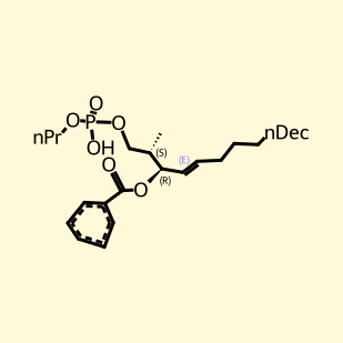 CCCCCCCCCCCCC/C=C/[C@@H](OC(=O)c1ccccc1)[C@@H](C)COP(=O)(O)OCCC